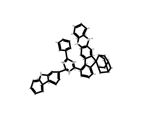 c1ccc(-c2nc(-c3ccc4c(c3)sc3ccccc34)nc(-c3cccc4c3-c3cc5c(cc3C43C4CC6CC(C4)CC3C6)Oc3ccccc3S5)n2)cc1